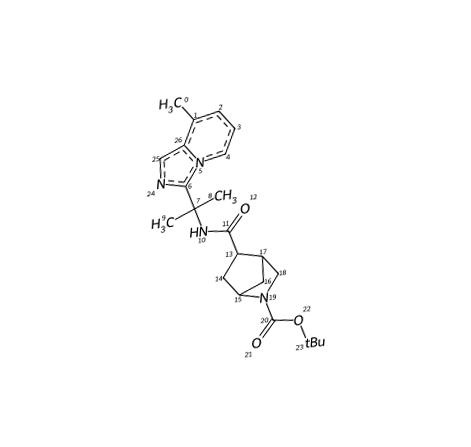 Cc1cccn2c(C(C)(C)NC(=O)C3CC4CC3CN4C(=O)OC(C)(C)C)ncc12